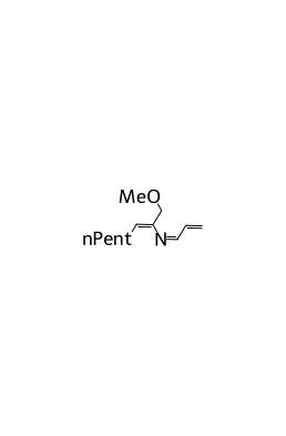 C=C/C=N\C(=C/CCCCC)COC